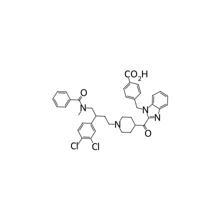 CN(CC(CCN1CCC(C(=O)c2nc3ccccc3n2Cc2ccc(C(=O)O)cc2)CC1)c1ccc(Cl)c(Cl)c1)C(=O)c1ccccc1